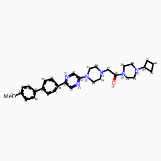 COc1ccc(-c2ccc(-c3cnc(N4CCN(CC(=O)N5CCN(C6CCC6)CC5)CC4)cn3)cc2)cc1